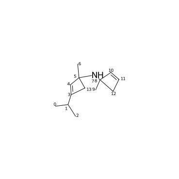 CC(C)C1=CC(C)(NC2(C)C=CC2)C1